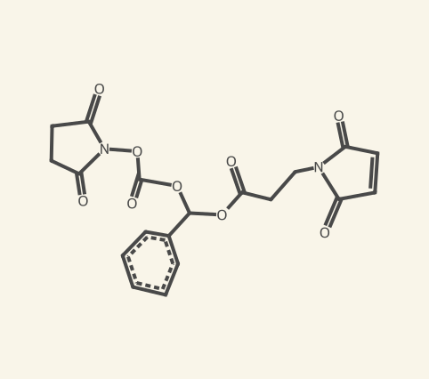 O=C(CCN1C(=O)C=CC1=O)OC(OC(=O)ON1C(=O)CCC1=O)c1ccccc1